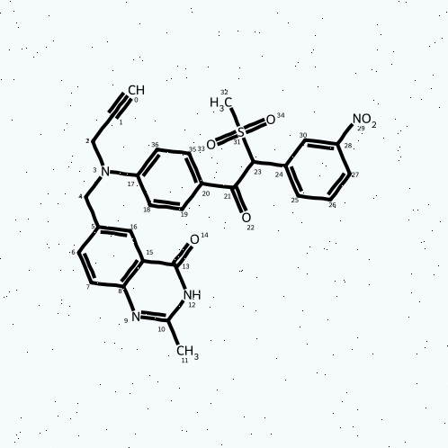 C#CCN(Cc1ccc2nc(C)[nH]c(=O)c2c1)c1ccc(C(=O)C(c2cccc([N+](=O)[O-])c2)S(C)(=O)=O)cc1